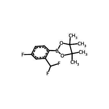 CC1(C)OB(c2ccc(F)cc2C(F)F)OC1(C)C